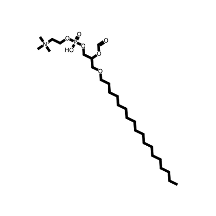 CCCCCCCCCCCCCCCCCCOCC(COP(=O)(O)OCC[N+](C)(C)C)OC=O